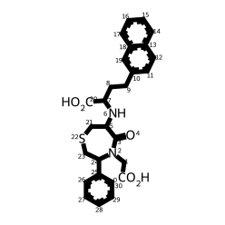 O=C(O)CN1C(=O)C(NC(CCc2ccc3ccccc3c2)C(=O)O)CSCC1c1ccccc1